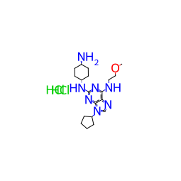 COCCNc1nc(N[C@H]2CC[C@H](N)CC2)nc2c1ncn2C1CCCC1.Cl.Cl